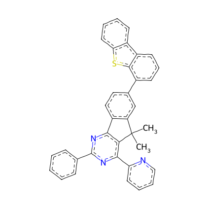 CC1(C)c2cc(-c3cccc4c3sc3ccccc34)ccc2-c2nc(-c3ccccc3)nc(-c3ccccn3)c21